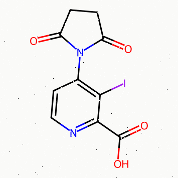 O=C(O)c1nccc(N2C(=O)CCC2=O)c1I